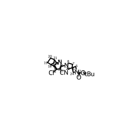 CC(C)(C)OC(=O)N1CC2(CCN(c3nc4c(c(Cl)c3C#N)C3CCC4C3)C2)C1